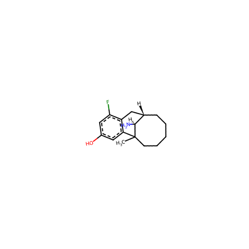 CC12CCCCC[C@@H](Cc3c(F)cc(O)cc31)[C@@H]2N